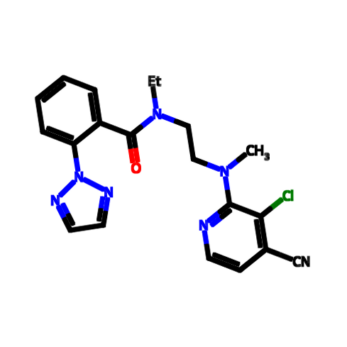 CCN(CCN(C)c1nccc(C#N)c1Cl)C(=O)c1ccccc1-n1nccn1